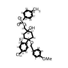 COc1ccc(COC2(c3ccc(Cl)cc3F)CCC(O)(COS(=O)(=O)c3ccc(C)cc3)CC2)cc1